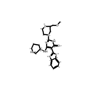 COCC1CN(c2nc(N[C@@H]3CCCNC3)c(-c3nc4ccccc4s3)c(=O)[nH]2)CCO1